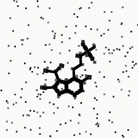 CCC(CC)n1c(O)nc2ncc(Cl)c(CCNS(C)(=O)=O)c21